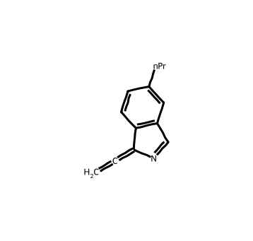 C=C=C1N=Cc2cc(CCC)ccc21